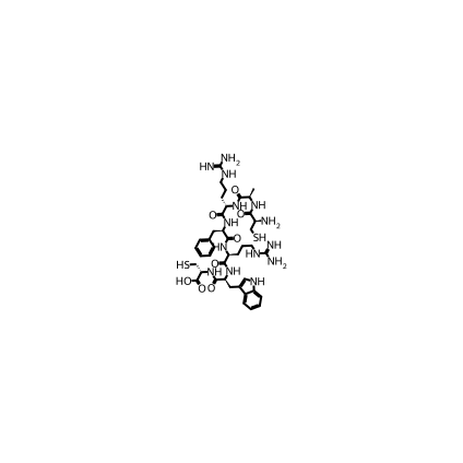 C[C@@H](NC(=O)[C@@H](N)CS)C(=O)N[C@@H](CCCNC(=N)N)C(=O)N[C@H](Cc1ccccc1)C(=O)N[C@@H](CCCNC(=N)N)C(=O)N[C@@H](Cc1c[nH]c2ccccc12)C(=O)N[C@@H](CS)C(=O)O